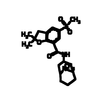 CN1C2CCCC1CC(NC(=O)c1cc(S(C)(=O)=O)cc3c1OC(C)(C)C3)C2